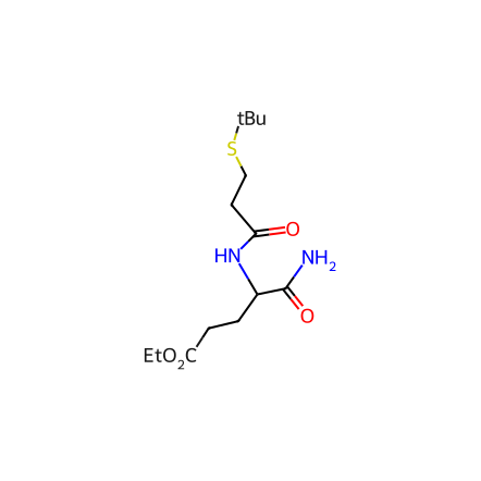 CCOC(=O)CCC(NC(=O)CCSC(C)(C)C)C(N)=O